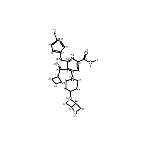 COC(=O)c1cc(N2CCC(N3CC4OCC43)CC2)c2c(C3CCC3)nn(-c3ccc(F)cc3)c2n1